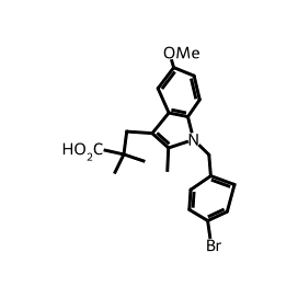 COc1ccc2c(c1)c(CC(C)(C)C(=O)O)c(C)n2Cc1ccc(Br)cc1